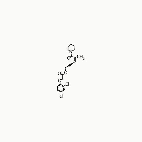 CC(=CC#CCOC(=O)COc1ccc(Cl)cc1Cl)C(=O)N1CCCCC1